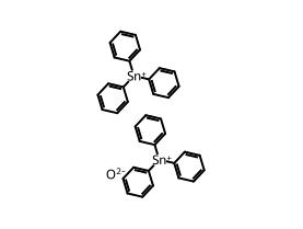 [O-2].c1cc[c]([Sn+]([c]2ccccc2)[c]2ccccc2)cc1.c1cc[c]([Sn+]([c]2ccccc2)[c]2ccccc2)cc1